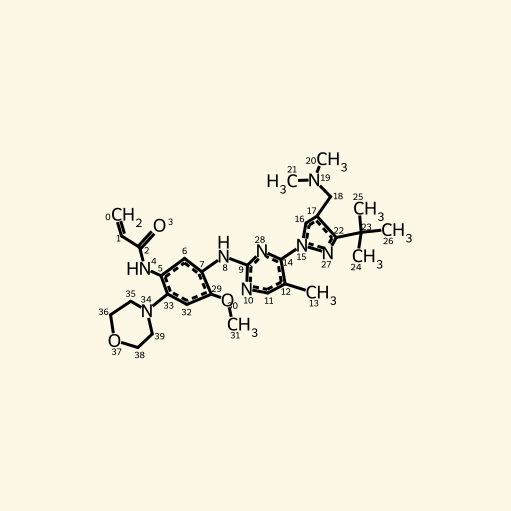 C=CC(=O)Nc1cc(Nc2ncc(C)c(-n3cc(CN(C)C)c(C(C)(C)C)n3)n2)c(OC)cc1N1CCOCC1